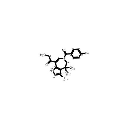 CNC(=O)C1=CN(C(=O)c2ccc(F)cc2)CC(C)(C)c2c(C)n[nH]c21